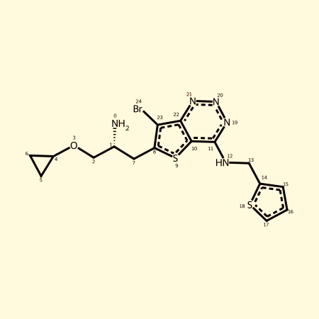 N[C@@H](COC1CC1)Cc1sc2c(NCc3cccs3)nnnc2c1Br